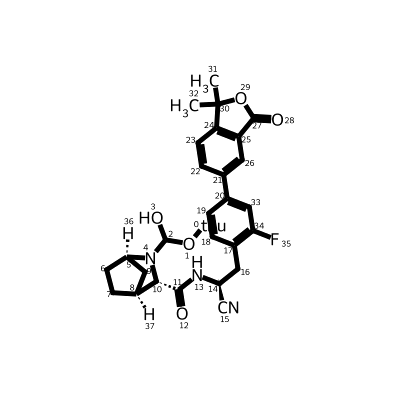 CC(C)(C)OC(O)N1[C@@H]2CC[C@@H](C2)[C@H]1C(=O)N[C@H](C#N)Cc1ccc(-c2ccc3c(c2)C(=O)OC3(C)C)cc1F